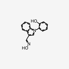 ON=Cc1cn(-c2ccccc2O)c2ccccc12